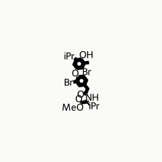 COC(=O)[C@@H](NC(=O)Cc1cc(Br)c(Oc2cc(C)c(O)c(C(C)C)c2)c(Br)c1)C(C)C